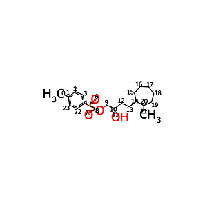 Cc1ccc(S(=O)(=O)OCC(O)CCC2CCCCCC2C)cc1